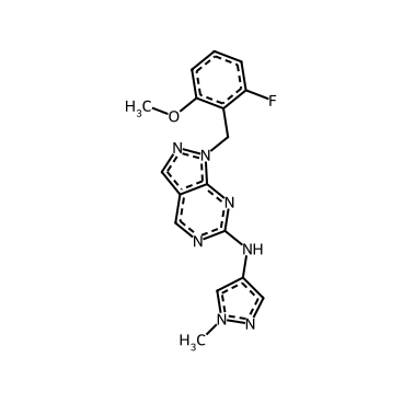 COc1cccc(F)c1Cn1ncc2cnc(Nc3cnn(C)c3)nc21